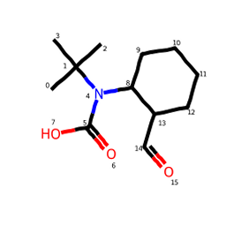 CC(C)(C)N(C(=O)O)C1CCCCC1C=O